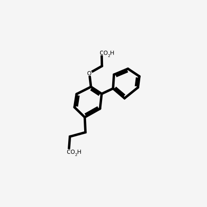 O=C(O)CCc1ccc(OCC(=O)O)c(-c2ccccc2)c1